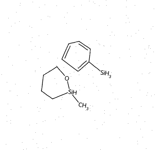 C[SiH]1CCCCO1.[SiH3]c1ccccc1